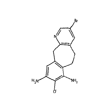 Nc1cc2c(c(N)c1Cl)CCc1cc(Br)cnc1C2